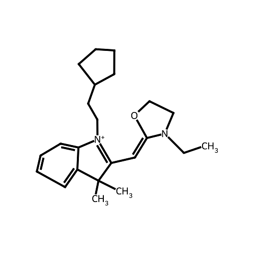 CCN1CCO/C1=C\C1=[N+](CCC2CCCC2)c2ccccc2C1(C)C